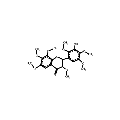 COc1cc(C2Oc3c(cc(OC)c(OC)c3OC)C(=O)C2OC)c(OC)c(O)c1OC